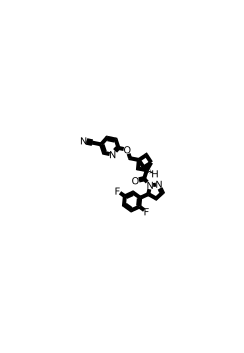 N#Cc1ccc(OCC23CC(C2)[C@@H](C(=O)N2N=CCC2c2cc(F)ccc2F)C3)nc1